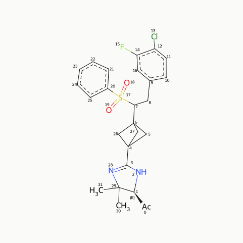 CC(=O)[C@@H]1NC(C23CC(C(Cc4ccc(Cl)c(F)c4)S(=O)(=O)c4ccccc4)(C2)C3)=NC1(C)C